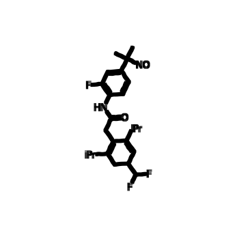 CC(C)C1=CC(C(F)F)CC(C(C)C)=C1CC(=O)Nc1ccc(C(C)(C)N=O)cc1F